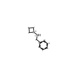 c1ccc(CNN2CCC2)cc1